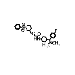 CN(C)C(c1ccc(F)cc1)C1CCC(NC(=O)COCC2CCCN(S(=O)(=O)c3ccccc3)C2)CC1